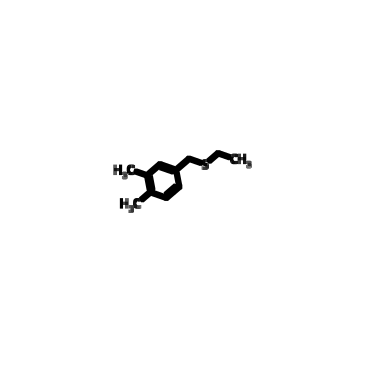 CCSCc1ccc(C)c(C)c1